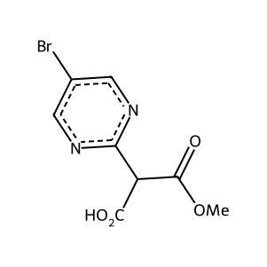 COC(=O)C(C(=O)O)c1ncc(Br)cn1